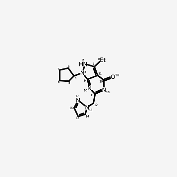 CCc1[nH]n(C2CCCC2)c2nc(Cn3cccn3)nc(=O)c1-2